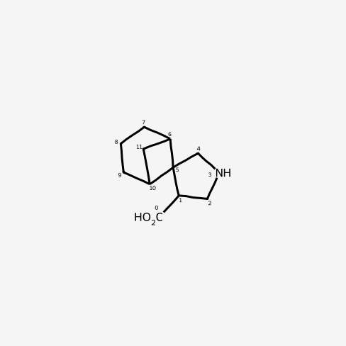 O=C(O)C1CNCC12C1CCCC2C1